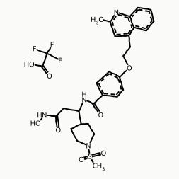 Cc1cc(CCOc2ccc(C(=O)NC(CC(=O)NO)C3CCN(S(C)(=O)=O)CC3)cc2)c2ccccc2n1.O=C(O)C(F)(F)F